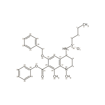 CCCC[S@+]([O-])NC1CCN(C)c2c1cc(OCc1ccccc1)c(C(=O)Oc1ccccc1)c2C